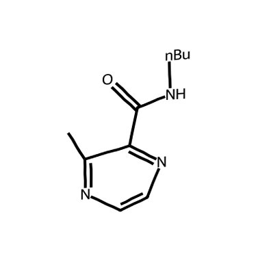 CCCCNC(=O)c1nccnc1C